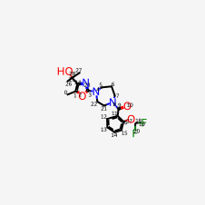 Cc1oc(N2CCCN(C(=O)c3ccccc3OC(F)F)CC2)nc1C(C)(C)O